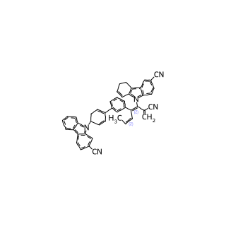 C=C(C#N)/C(=C(\C=C/C)c1cccc(C2=CCC(n3c4ccccc4c4ccc(C#N)cc43)C=C2)c1)n1c2c(c3cc(C#N)ccc31)CCC=C2